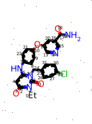 CCn1c(=O)cc(Nc2ccc(Oc3cncc(C(N)=O)c3)cc2)n(Cc2ccc(Cl)cc2)c1=O